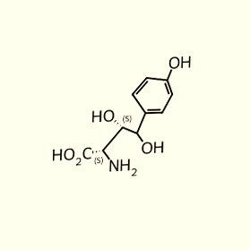 N[C@H](C(=O)O)[C@H](O)C(O)c1ccc(O)cc1